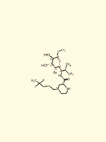 CS[C@H]1O[C@H]([C@H](NC(=O)[C@@H]2C[C@H](CCCC(C)(F)F)CCN2)C(C)C)[C@H](O)[C@H](O)[C@H]1O